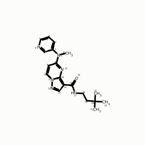 CN(c1cccnc1)c1ccn2ncc(C(=O)NCCC(C)(C)C)c2n1